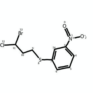 O=[N+]([O-])c1cccc(SCCC(Cl)Br)c1